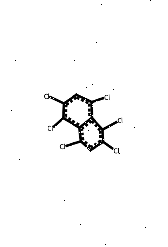 Clc1[c]c(Cl)c2c(Cl)c(Cl)[c]c(Cl)c2c1Cl